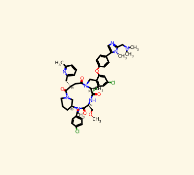 COC[C@@H]1NC(=O)[C@H](C)N(Cc2c(F)cc(Cl)cc2Oc2ccc(-c3cnc(CN(C)C)n3C)cc2)C(=O)C[C@@H](Cc2cccc(C)n2)C(=O)N2CCC[C@@](Cc3ccc(Cl)cc3)(C2)N(C)C1=O